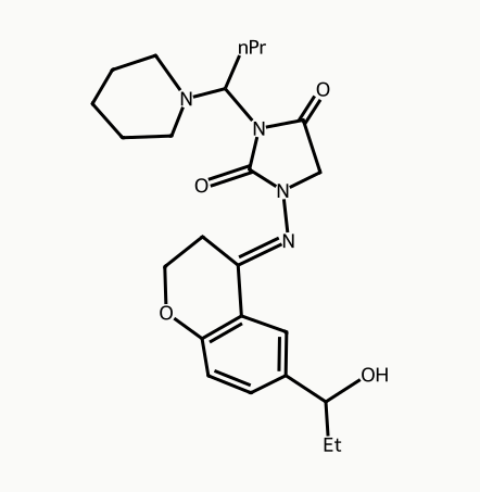 CCCC(N1CCCCC1)N1C(=O)CN(/N=C2\CCOc3ccc(C(O)CC)cc32)C1=O